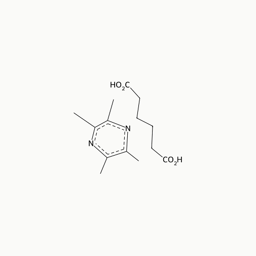 Cc1nc(C)c(C)nc1C.O=C(O)CCCCC(=O)O